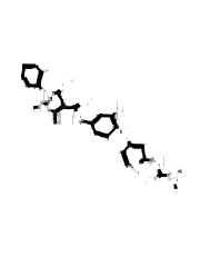 Cc1c(C(=O)Nc2ccc(Oc3ccnc(NC(=O)N(C)C)c3)c(F)c2)c(=O)n(-c2ccccc2)n1C